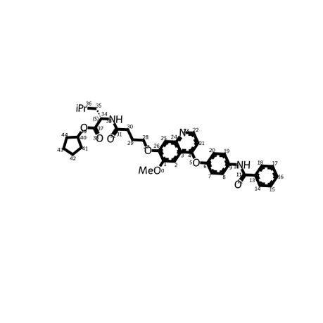 COc1cc2c(Oc3ccc(NC(=O)c4ccccc4)cc3)ccnc2cc1OCCCC(=O)N[C@@H](CC(C)C)C(=O)OC1CCCC1